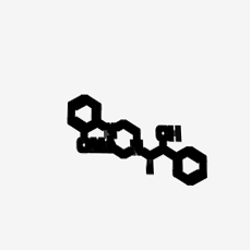 COc1ccccc1N1CCN([C@H](C)C(O)c2ccccc2)CC1